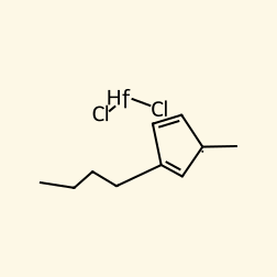 CCCCC1=C[C](C)C=C1.[Cl][Hf][Cl]